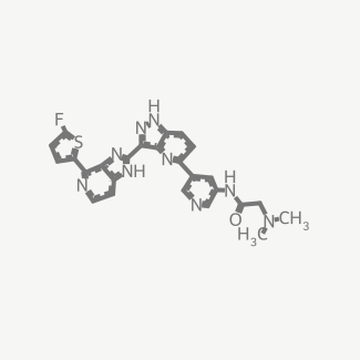 CN(C)CC(=O)Nc1cncc(-c2ccc3[nH]nc(-c4nc5c(-c6ccc(F)s6)nccc5[nH]4)c3n2)c1